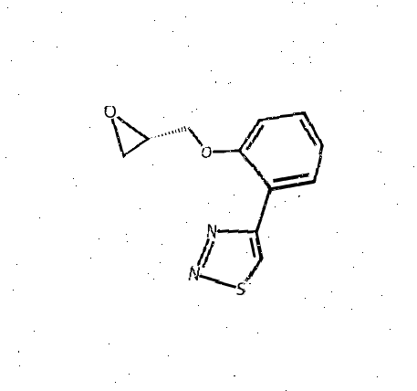 c1ccc(-c2csnn2)c(OC[C@@H]2CO2)c1